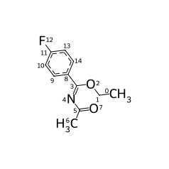 CCOC(=NC(C)=O)c1ccc(F)cc1